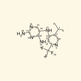 CC(C)c1cnc(C(F)(F)F)cc1Nc1cnc(N)nc1N